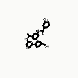 CC(Nc1cncc(-c2ccc(CO)cc2)n1)c1cccc(NC(=O)c2cccc(C(F)(F)F)c2)c1